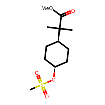 COC(=O)C(C)(C)[C@H]1CC[C@@H](OS(C)(=O)=O)CC1